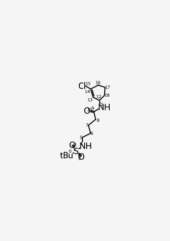 CC(C)(C)S(=O)(=O)NCCCCC(=O)NC1C=C(Cl)CCC1